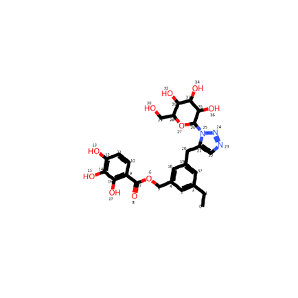 CCc1cc(COC(=O)c2ccc(O)c(O)c2O)cc(Cc2cnnn2C2OC(CO)C(O)C(O)C2O)c1